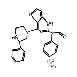 Cl.O.O=CN(c1ccccc1)c1nc(C2CCNC(c3ccccc3)C2)c2nccc-2[nH]1